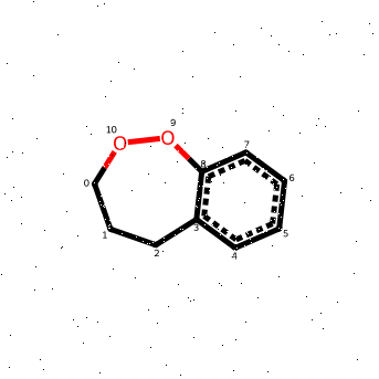 [CH]1CCc2ccccc2OO1